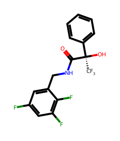 O=C(NCc1cc(F)cc(F)c1F)[C@](O)(c1ccccc1)C(F)(F)F